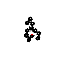 c1ccc(-c2cccc(-c3ccc(-c4cc(-c5cccc(-n6c7ccccc7c7ccccc76)c5)nc(-c5cccc(-c6cccc(-n7c8ccccc8c8ccccc87)c6)c5)n4)cc3)c2)cc1